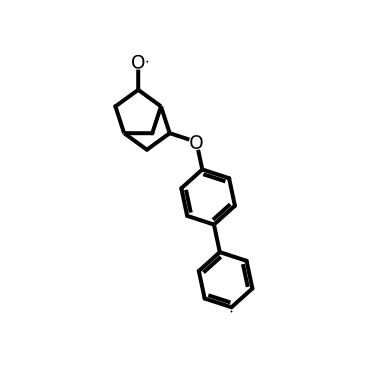 [O]C1CC2CC(Oc3ccc(-c4cc[c]cc4)cc3)C1C2